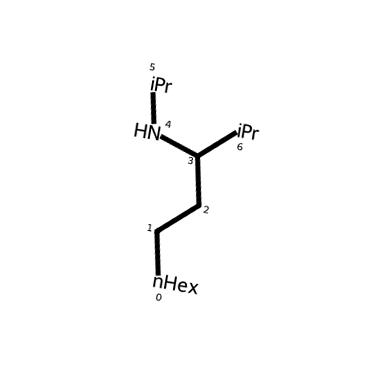 CCCCCCCCC(NC(C)C)C(C)C